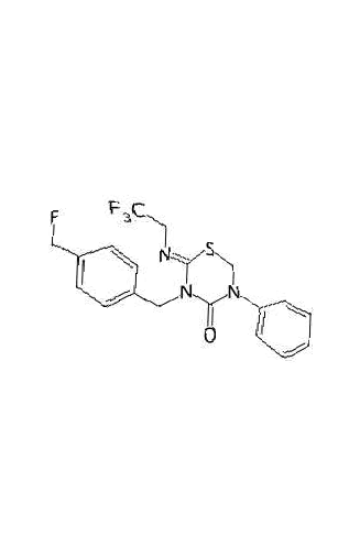 O=C1N(Cc2ccc(CF)cc2)C(=NCC(F)(F)F)SCN1c1ccccc1